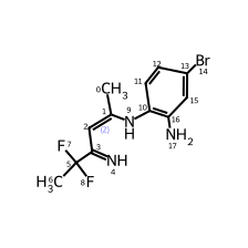 C/C(=C/C(=N)C(C)(F)F)Nc1ccc(Br)cc1N